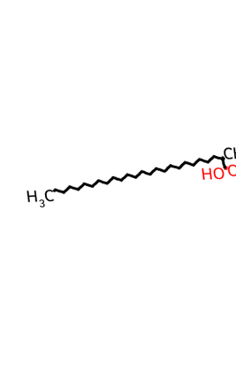 C=C(CCCCCCCCCCCCCCCCCCCCCCCC)C(=O)O